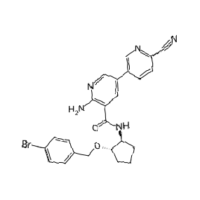 N#Cc1ccc(-c2cnc(N)c(C(=O)N[C@H]3CCC[C@@H]3OCc3ccc(Br)cc3)c2)cn1